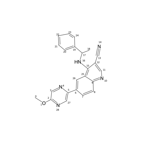 COc1cnc(-c2ccc3ncc(C#N)c(NC(C)c4ccccc4)c3c2)cn1